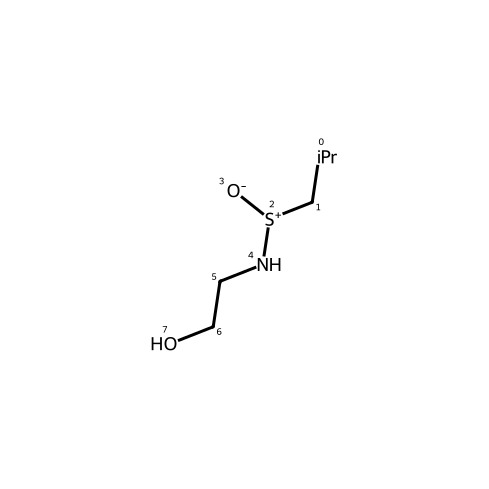 CC(C)C[S+]([O-])NCCO